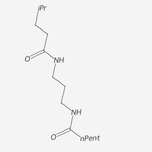 CCCCCC(=O)NCCCNC(=O)CCC(C)C